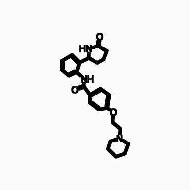 O=C1CCCC(c2ccccc2NC(=O)c2ccc(OCCN3CCCCC3)cc2)N1